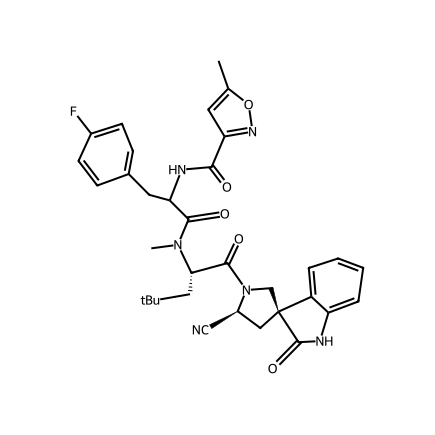 Cc1cc(C(=O)NC(Cc2ccc(F)cc2)C(=O)N(C)[C@@H](CC(C)(C)C)C(=O)N2C[C@]3(C[C@H]2C#N)C(=O)Nc2ccccc23)no1